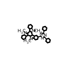 Cn1c2ccccc2c2c1c1c3ccccc3n(C)c1c1c3cc(-c4nc(-c5ccccc5)nc(-c5ccccc5)n4)ccc3n(C)c21